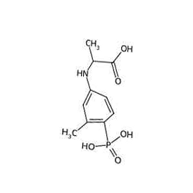 Cc1cc(NC(C)C(=O)O)ccc1P(=O)(O)O